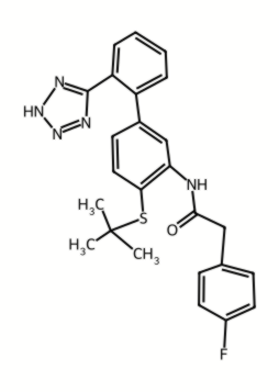 CC(C)(C)Sc1ccc(-c2ccccc2-c2nn[nH]n2)cc1NC(=O)Cc1ccc(F)cc1